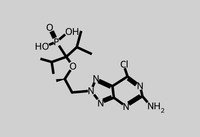 CC(C)C(O[C@H](C)Cn1nc2nc(N)nc(Cl)c2n1)(C(C)C)P(=O)(O)O